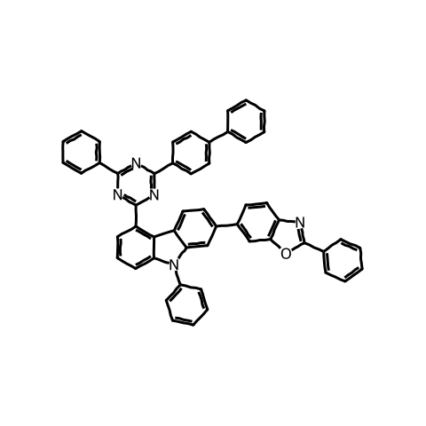 c1ccc(-c2ccc(-c3nc(-c4ccccc4)nc(-c4cccc5c4c4ccc(-c6ccc7nc(-c8ccccc8)oc7c6)cc4n5-c4ccccc4)n3)cc2)cc1